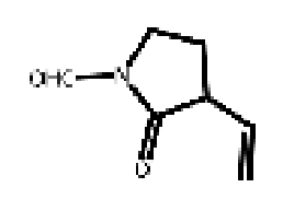 C=CC1CCN(C=O)C1=O